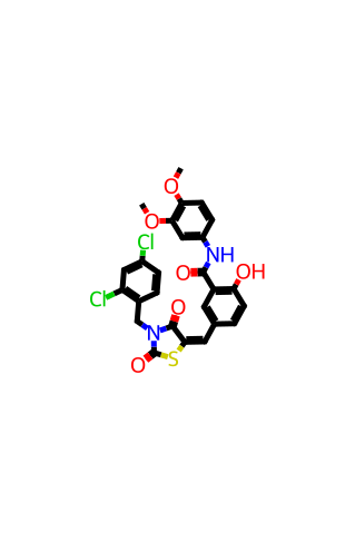 COc1ccc(NC(=O)c2cc(C=C3SC(=O)N(Cc4ccc(Cl)cc4Cl)C3=O)ccc2O)cc1OC